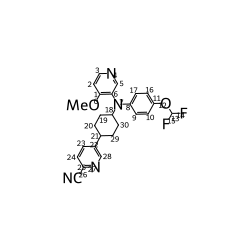 COc1ccncc1N(c1ccc(OC(F)F)cc1)C1CCC(c2ccc(C#N)nc2)CC1